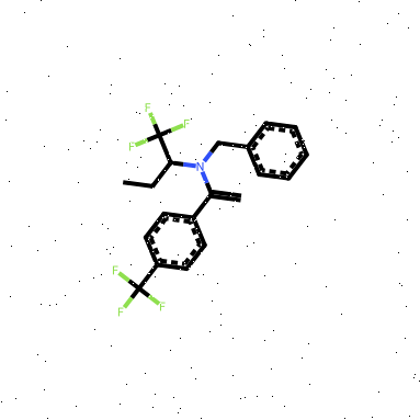 C=C(c1ccc(C(F)(F)F)cc1)N(Cc1ccccc1)C(CC)C(F)(F)F